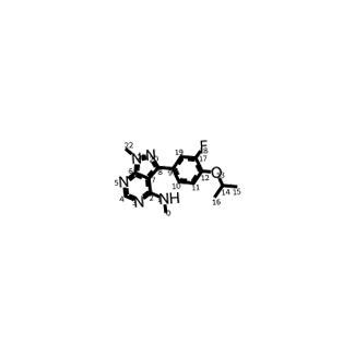 CNc1ncnc2c1c(-c1ccc(OC(C)C)c(F)c1)nn2C